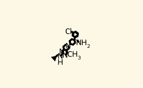 Cc1nc(NCC2CC2)nc2c1CN([C@H]1CC[C@](CN)(c3cccc(Cl)c3)CC1)CC2